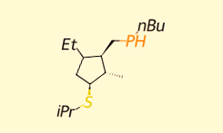 CCCCPC[C@@H]1C(CC)C[C@H](SC(C)C)[C@H]1C